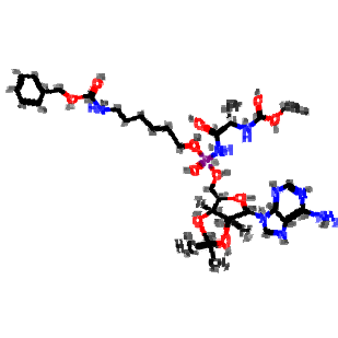 CC(C)[C@H](NC(=O)OC(C)(C)C)C(=O)NP(=O)(OCCCCCCNC(=O)OCc1ccccc1)OC[C@H]1O[C@@H](n2cnc3c(N)ncnc32)[C@@H]2OC(C)(C)O[C@@H]21